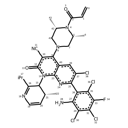 C=CC(=O)N1[C@H](C)CN(c2c(C#N)c(=O)n(C3C(C(C)C)=NC=C[C@H]3C)c3nc(-c4c(N)c(Cl)c(Cl)c(F)c4Cl)c(Cl)cc23)C[C@@H]1C